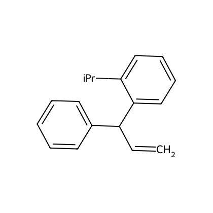 C=CC(c1ccccc1)c1ccccc1C(C)C